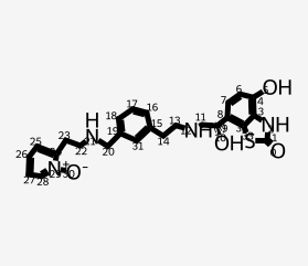 O=c1[nH]c2c(O)ccc([C@@H](O)CNCCc3cccc(CNCCc4cccc[n+]4[O-])c3)c2s1